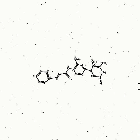 COc1cc(C2NC(=O)NC(C)=C2C(=O)O)ccc1OC(=O)/C=C/c1ccccc1